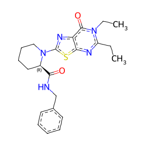 CCc1nc2sc(N3CCCC[C@@H]3C(=O)NCc3ccccc3)nc2c(=O)n1CC